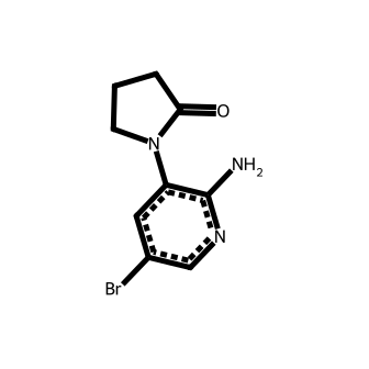 Nc1ncc(Br)cc1N1CCCC1=O